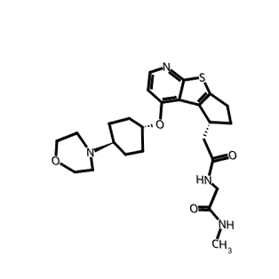 CNC(=O)CNC(=O)C[C@H]1CCc2sc3nccc(O[C@H]4CC[C@H](N5CCOCC5)CC4)c3c21